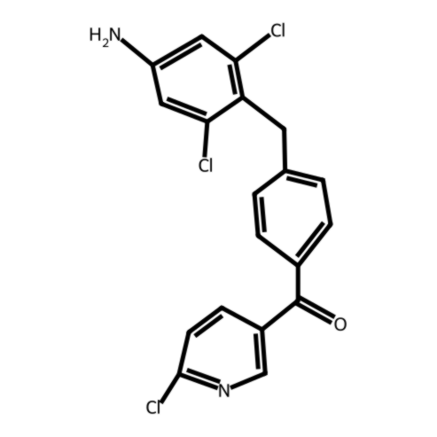 Nc1cc(Cl)c(Cc2ccc(C(=O)c3ccc(Cl)nc3)cc2)c(Cl)c1